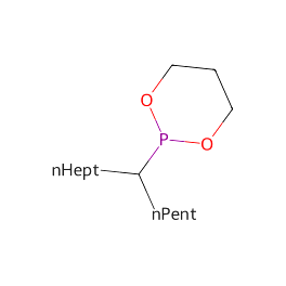 CCCCCCCC(CCCCC)P1OCCCO1